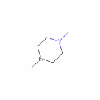 CN1C[CH2][In]([CH3])[CH2]C1